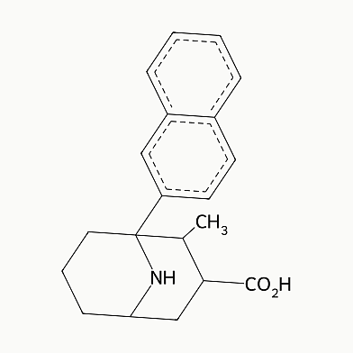 CC1C(C(=O)O)CC2CCCC1(c1ccc3ccccc3c1)N2